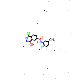 Cc1ccc(F)c(NC(=O)c2ccc3c(Cl)nnc(O)c3c2)c1